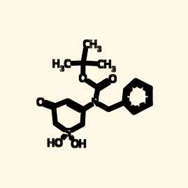 CC(C)(C)OC(=O)N(Cc1ccccc1)C1=CC(=O)CS(O)(O)C1